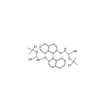 CCCC(OC(C)(C)CC)POc1ccc2ccccc2c1-c1c(OPC(CCC)OC(C)(C)CC)ccc2ccccc12